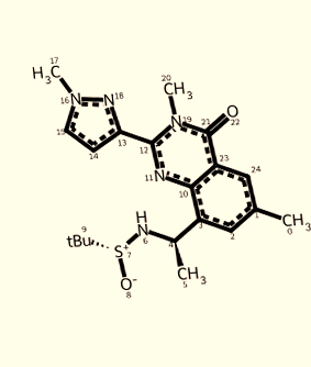 Cc1cc([C@@H](C)N[S@+]([O-])C(C)(C)C)c2nc(-c3ccn(C)n3)n(C)c(=O)c2c1